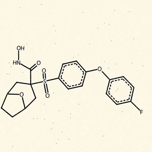 O=C(NO)C1(S(=O)(=O)c2ccc(Oc3ccc(F)cc3)cc2)CC2CCC(C1)O2